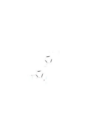 COc1ccc(COc2cc(C(F)(F)F)cc(C(F)(F)F)c2)cc1